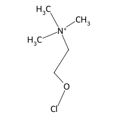 C[N+](C)(C)CCOCl